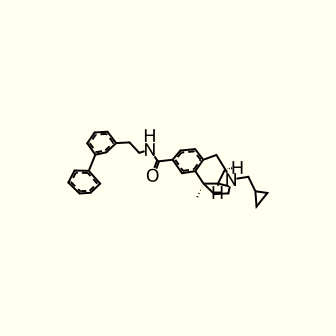 C[C@@H]1[C@H]2Cc3ccc(C(=O)NCCc4cccc(-c5ccccc5)c4)cc3[C@]1(C)CCN2CC1CC1